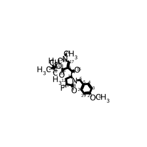 COc1ccc(CN2C(=O)[C@H](F)C[C@H]2C(=O)/C(=C/N(C)C)C(=O)OC(C)(C)C)cc1